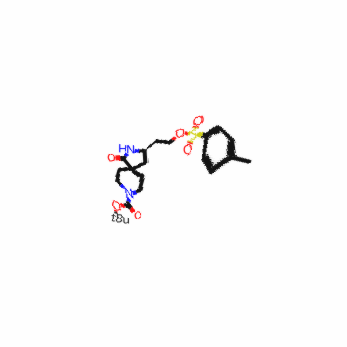 Cc1ccc(S(=O)(=O)OCC[C@H]2CC3(CCN(C(=O)OC(C)(C)C)CC3)C(=O)N2)cc1